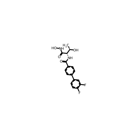 C[C@@H](O)[C@H](NC(=O)c1ccc(-c2ccc(F)c(F)c2)cc1)C(=O)NO